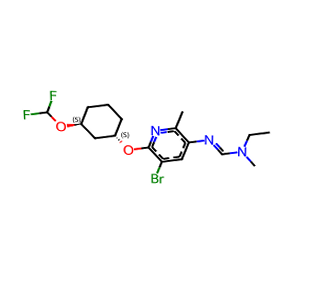 CCN(C)C=Nc1cc(Br)c(O[C@H]2CCC[C@H](OC(F)F)C2)nc1C